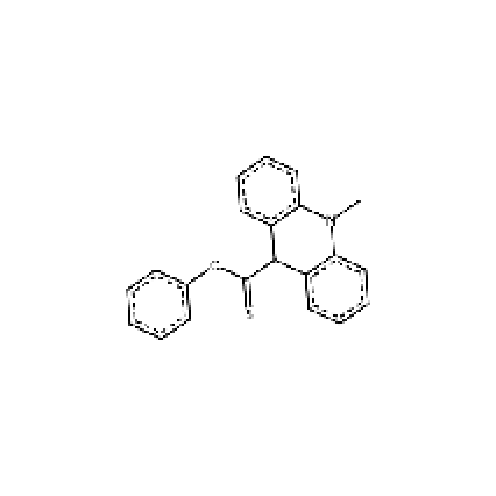 CN1c2ccccc2C(C(=S)Oc2ccccc2)c2ccccc21